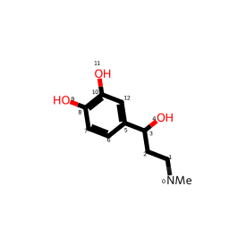 CNCCC(O)c1ccc(O)c(O)c1